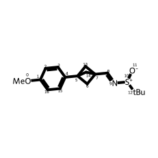 COc1ccc(C23CC(C=N[S+]([O-])C(C)(C)C)(C2)C3)cc1